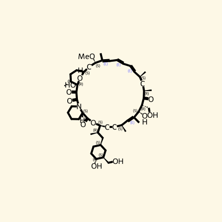 CO[C@H]1C[C@@H]2CC[C@@H](C)[C@@](O)(O2)C(=O)C(=O)N2CCCC[C@H]2C(=O)O[C@H]([C@H](C)C[C@@H]2CC[C@@H](O)[C@H](CO)C2)CC[C@H](C)/C=C(\C)[C@@H](O)[C@@H](CO)C(=O)[C@H](C)C[C@H](C)/C=C/C=C/C=C/1C